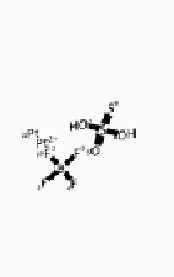 F[B-](F)(F)F.O=S(O)(O)=S.[Pt+2].[Pt]